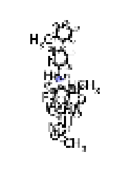 Cc1cc(C(=O)N[C@@]23CC(F)(F)[C@@H](C)[C@H](/C=C/c4ccc(-c5ccccc5C)cn4)[C@@H]2[C@@H](C)OC3=O)no1